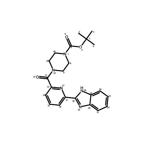 CC(C)(C)OC(=O)N1CCN(C(=O)c2cccc(-c3nc4ccccc4[nH]3)n2)CC1